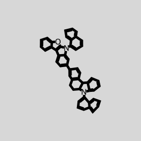 c1ccc2c(c1)C1c3ccc(-c4ccc5c6c7ccccc7oc6n(-c6cccc7ccccc67)c5c4)cc3CCC1N2c1cccc2ccccc12